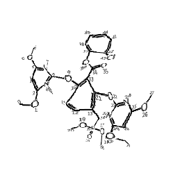 COc1cc(OC)nc(Oc2ccc(CP(=O)(OC)OC)c(Oc3nc(OC)cc(OC)n3)c2C(=O)Oc2ccccc2Cl)n1